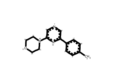 Cc1ccc(-c2cncc(N3CCOCC3)n2)cc1